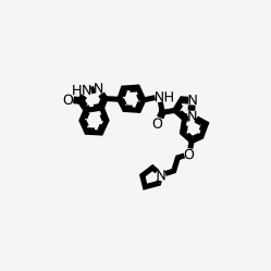 O=C(Nc1ccc(-c2n[nH]c(=O)c3ccccc23)cc1)c1cnn2ccc(OCCN3CCCC3)cc12